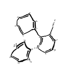 Fc1cccnc1-c1ccccc1.c1ccncc1